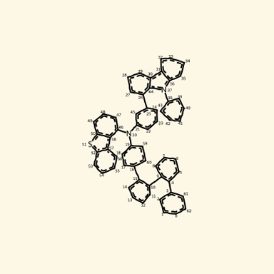 c1ccc(-c2ccccc2-c2ccccc2-c2ccc(N(c3cccc(-c4cccc5c6ccccc6n(-c6ccccc6)c45)c3)c3cccc4sc5ccccc5c34)cc2)cc1